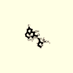 CC1CCc2cc(F)cc3c(O)c(C(=O)NCc4cccnc4N(C)C)c(=O)n1c23